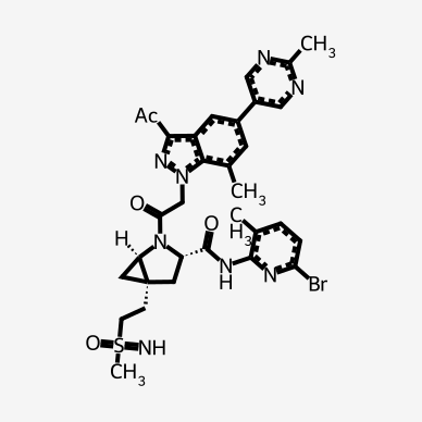 CC(=O)c1nn(CC(=O)N2[C@H](C(=O)Nc3nc(Br)ccc3C)C[C@@]3(CCS(C)(=N)=O)C[C@@H]23)c2c(C)cc(-c3cnc(C)nc3)cc12